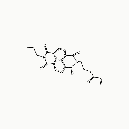 C=CC(=O)OCCN1C(=O)c2ccc3c4c(ccc(c24)C1=O)C(=O)N(CCC)C3=O